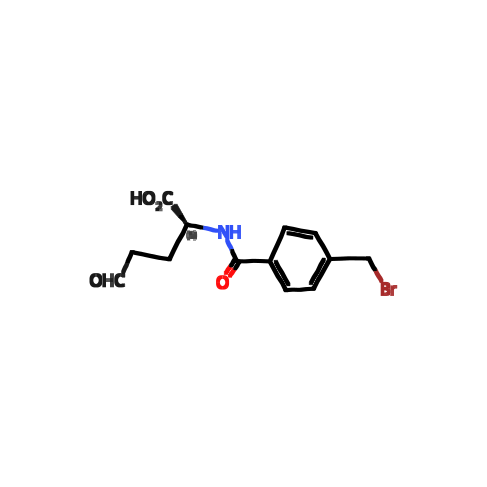 O=CCC[C@H](NC(=O)c1ccc(CBr)cc1)C(=O)O